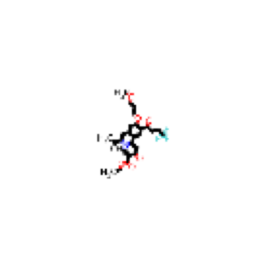 CCOC(=O)c1cn2c(cc1=O)-c1cc(C(=O)CCC(F)(F)F)c(OCCCOC)cc1CC2C(C)C